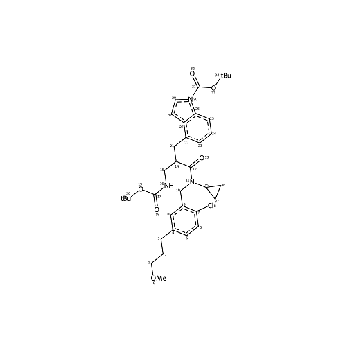 COCCCc1ccc(Cl)c(CN(C(=O)C(CNC(=O)OC(C)(C)C)Cc2cccc3c2ccn3C(=O)OC(C)(C)C)C2CC2)c1